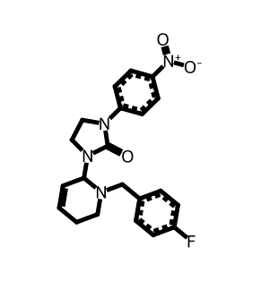 O=C1N(c2ccc([N+](=O)[O-])cc2)CCN1C1C=CCCN1Cc1ccc(F)cc1